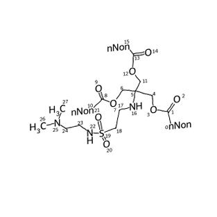 CCCCCCCCCC(=O)OCC(COC(=O)CCCCCCCCC)(COC(=O)CCCCCCCCC)NCCS(=O)(=O)NCCN(C)C